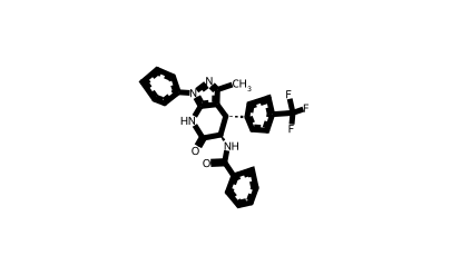 Cc1nn(-c2ccccc2)c2c1[C@H](c1ccc(C(F)(F)F)cc1)[C@H](NC(=O)c1ccccc1)C(=O)N2